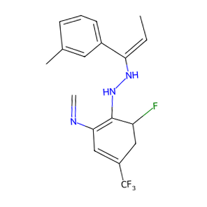 C=NC1=C(NN/C(=C/C)c2cccc(C)c2)C(F)CC(C(F)(F)F)=C1